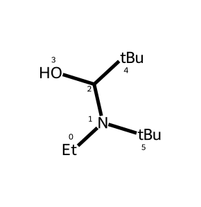 CCN(C(O)C(C)(C)C)C(C)(C)C